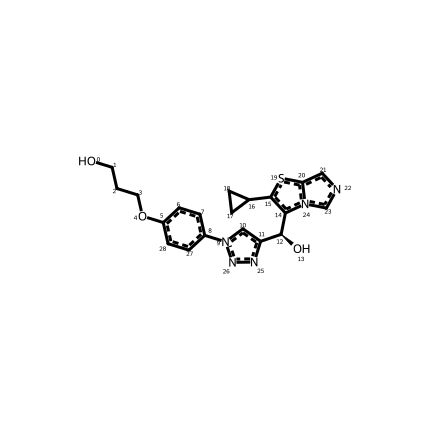 OCCCOc1ccc(-n2cc([C@H](O)c3c(C4CC4)sc4cncn34)nn2)cc1